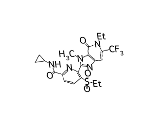 CCn1c(C(F)(F)F)cc2nc(-c3nc(C(=O)NC4CC4)ccc3S(=O)(=O)CC)n(C)c2c1=O